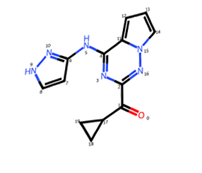 O=C(c1nc(Nc2cc[nH]n2)c2cccn2n1)C1CC1